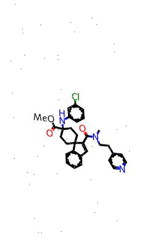 COC(=O)C1(Nc2cccc(Cl)c2)CCC2(CC1)C(C(=O)N(C)CCc1ccncc1)=Cc1ccccc12